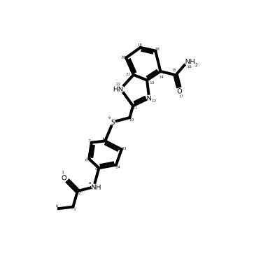 CCC(=O)Nc1ccc(SCc2nc3c(C(N)=O)cccc3[nH]2)cc1